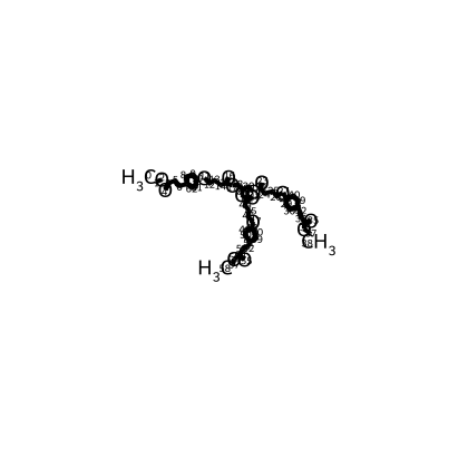 CCOC(=O)C=Cc1ccc(OCCCC(=O)OCC(COC(=O)CCCOc2ccc(C=CC(=O)OCC)cc2)OC(=O)CCCOc2ccc(C=CC(=O)OCC)cc2)cc1